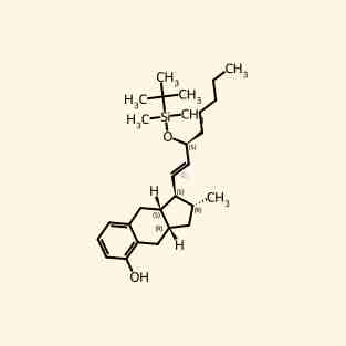 CCCCC[C@@H](/C=C/[C@@H]1[C@H]2Cc3cccc(O)c3C[C@H]2C[C@H]1C)O[Si](C)(C)C(C)(C)C